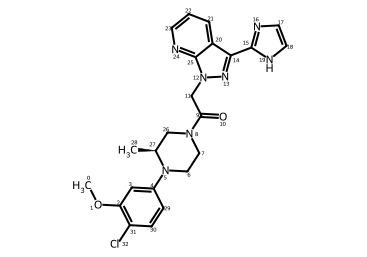 COc1cc(N2CCN(C(=O)Cn3nc(-c4ncc[nH]4)c4cccnc43)C[C@@H]2C)ccc1Cl